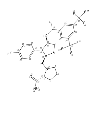 C[C@@H](O[C@H]1CC[C@@H](CN2CCC[C@@H]2C(N)=O)[C@@H]1c1ccc(F)cc1)c1cc(C(F)(F)F)cc(C(F)(F)F)c1